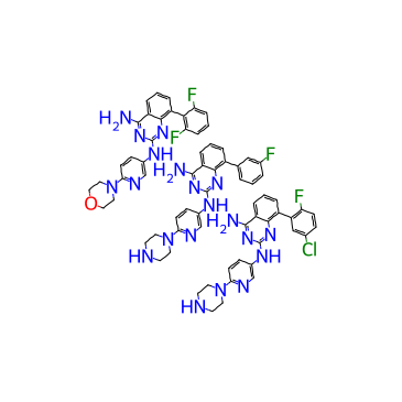 Nc1nc(Nc2ccc(N3CCNCC3)nc2)nc2c(-c3cc(Cl)ccc3F)cccc12.Nc1nc(Nc2ccc(N3CCNCC3)nc2)nc2c(-c3cccc(F)c3)cccc12.Nc1nc(Nc2ccc(N3CCOCC3)nc2)nc2c(-c3c(F)cccc3F)cccc12